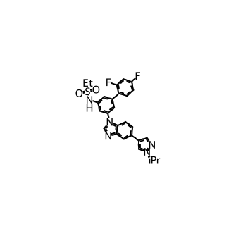 CCS(=O)(=O)Nc1cc(-c2ccc(F)cc2F)cc(-n2cnc3cc(-c4cnn(C(C)C)c4)ccc32)c1